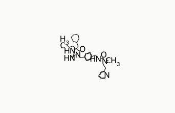 CCCCC1(CC2CCCCC2)NC(=N)N(Cc2ccc(CNC(=O)N(C)CCc3ccccn3)cc2)C1=O